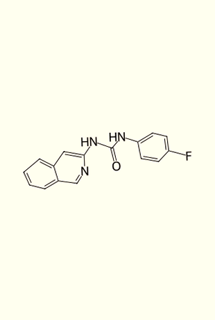 O=C(Nc1ccc(F)cc1)Nc1cc2ccccc2cn1